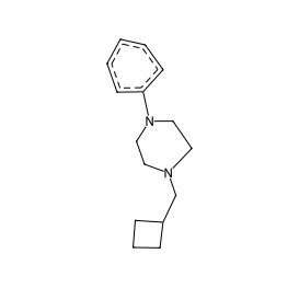 c1ccc(N2CCN(CC3CCC3)CC2)cc1